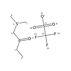 CCC(=O)C[S+](C)C.O=S(=O)([O-])C(F)(F)F